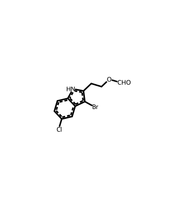 O=COCCc1[nH]c2ccc(Cl)cc2c1Br